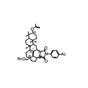 C=C(C)O[C@H]1CC[C@@]2(C)C(CC[C@]3(C)C2CC2C4=C5C(C(C)C)(CC[C@]5(COC(C)=O)CC[C@]43C)n3c(=O)n(-c4ccc(C(C)=O)cc4)c(=O)n32)C1(C)C